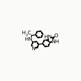 C[C@@H](Nc1cncc(-c2ccc3[nH]c(=O)[nH]c3c2)c1)c1ccccc1